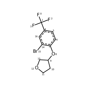 FC(F)(F)c1ccc(OC2CCOC2)c(Br)c1